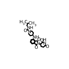 CC(C)CNC(=O)N1CCC(Nc2cccc3c2C(=O)N(C2CCC(=O)NC2=O)C3=O)CC1